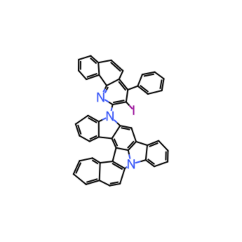 Ic1c(-n2c3ccccc3c3c4c5c6ccccc6ccc5n5c6ccccc6c(cc32)c45)nc2c(ccc3ccccc32)c1-c1ccccc1